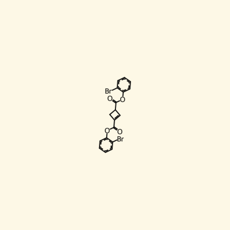 O=C(Oc1ccccc1Br)C1=CC(C(=O)Oc2ccccc2Br)C1